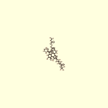 CC(C)=CC(=O)OCCn1cc2cc(-c3nn(C4CC5(C4)CN(C(=O)OC(C)(C)C)C5)c(C)c3-c3c(Cl)c(C)cc4c3cnn4C3CCCCO3)ccc2n1